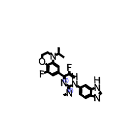 C=C(F)/C(=N\C(=N/C)Nc1ccc2nc[nH]c2c1)c1cc(F)c2c(c1)N(C(C)C)CCO2